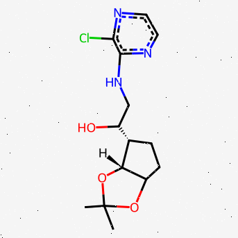 CC1(C)OC2CC[C@@H](C(O)CNc3nccnc3Cl)[C@H]2O1